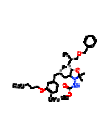 COCCCOc1cc(C[C@@H](C[C@H]2[C@H](C[C@H](COCc3ccccc3)C(C)C)OC(C)(C)N2NC(=O)OC(C)(C)C)C(C)C)ccc1OC